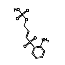 Nc1ccccc1S(=O)(=O)C=CCOS(=O)(=O)O